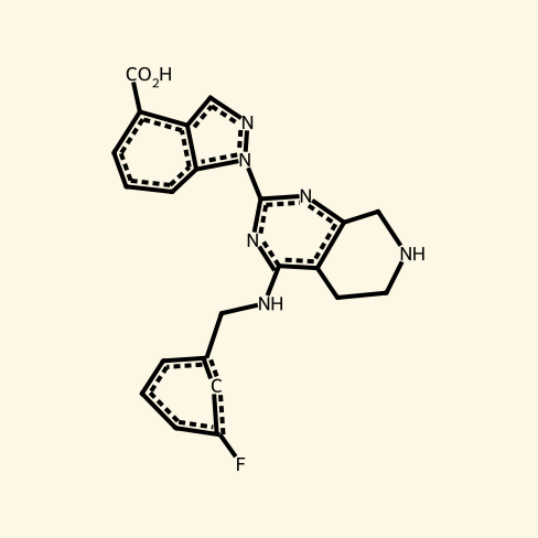 O=C(O)c1cccc2c1cnn2-c1nc2c(c(NCc3cccc(F)c3)n1)CCNC2